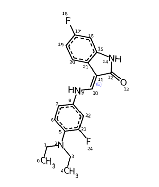 CCN(CC)c1ccc(N/C=C2/C(=O)Nc3cc(F)ccc32)cc1F